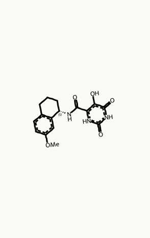 COc1ccc2c(c1)[C@@H](NC(=O)c1[nH]c(=O)[nH]c(=O)c1O)CCC2